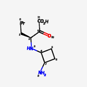 CC(C)C[C@H](NC1CCC1N)C(=O)C(=O)O